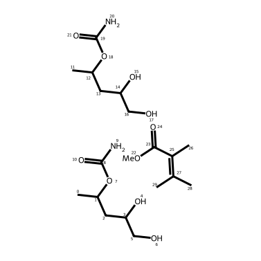 CC(CC(O)CO)OC(N)=O.CC(CC(O)CO)OC(N)=O.COC(=O)C(C)=C(C)C